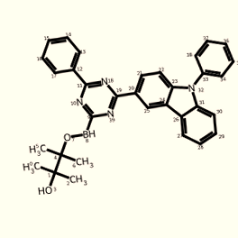 CC(C)(O)C(C)(C)OBc1nc(-c2ccccc2)nc(-c2ccc3c(c2)c2ccccc2n3-c2ccccc2)n1